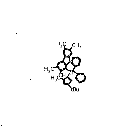 Cc1cc2c(cc1C)-c1cc(C)c(C)[c]([Zr]([C]3=CC(C(C)(C)C)=CC3C)=[C](c3ccccc3)c3ccccc3)c1C2